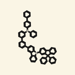 c1ccc(-c2ccc(N(c3ccccc3)c3cccc(-c4cccc(-c5ccc6c(c5)c5ccccc5n6-c5ccc6c(c5)C(c5ccccc5)(c5ccccc5)c5ccccc5-6)c4)c3)cc2)cc1